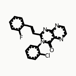 O=c1c2nccnc2nc(C=Cc2ccccc2F)n1-c1ccccc1Cl